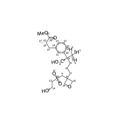 [2H]C([2H])([2H])C(CCCC1(CS(=O)(=O)CCO)COC1)(C(=O)O)c1cccc(C[C@H](C)C(=O)OC)c1